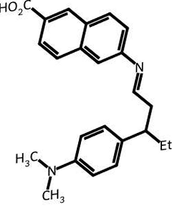 CCC(CC=Nc1ccc2cc(C(=O)O)ccc2c1)c1ccc(N(C)C)cc1